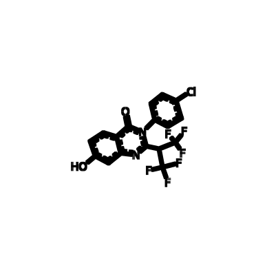 O=c1c2ccc(O)cc2nc(C(C(F)(F)F)C(F)(F)F)n1-c1ccc(Cl)cc1